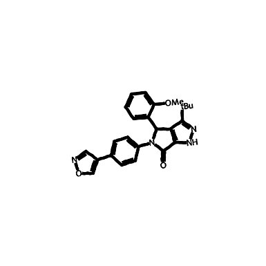 COc1ccccc1C1c2c(C(C)(C)C)n[nH]c2C(=O)N1c1ccc(-c2cnoc2)cc1